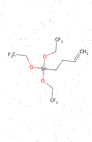 C=CC[CH2][Sn]([O]CC(F)(F)F)([O]CC(F)(F)F)[O]CC(F)(F)F